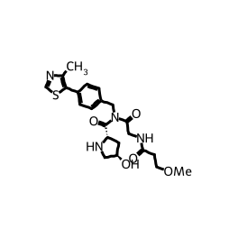 COCCC(=O)NCC(=O)N(Cc1ccc(-c2scnc2C)cc1)C(=O)[C@@H]1C[C@@H](O)CN1